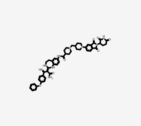 N=C(/C(C(N)=O)=C1\NCCc2cc(NC(=O)C3CCN(CC4CCN(c5ccc6c(c5)C(=O)N(C5CCC(=O)NC5=O)C6=O)CC4)CC3)ccc2N1)c1ccc(Oc2ccccc2)cc1